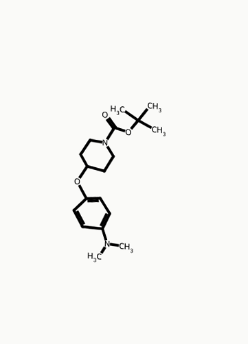 CN(C)c1ccc(OC2CCN(C(=O)OC(C)(C)C)CC2)cc1